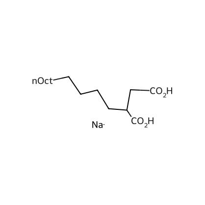 CCCCCCCCCCCCC(CC(=O)O)C(=O)O.[Na]